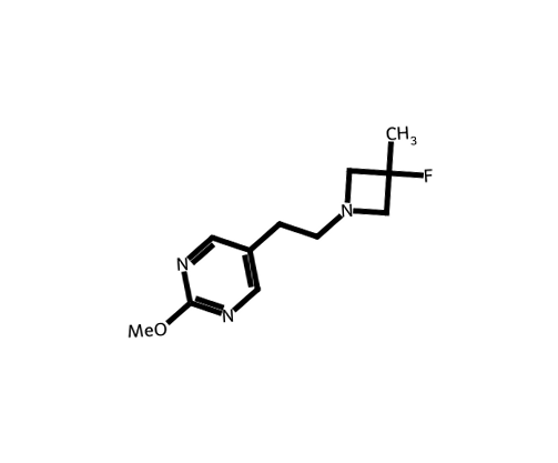 COc1ncc(CCN2CC(C)(F)C2)cn1